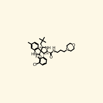 Cc1ccc2c(c1)NC(=O)[C@]21[C@@H](CC(C)(C)C)N[C@@H](C(=O)NCCCN2CCOCC2)[C@@H]1c1cccc(Cl)c1F